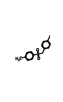 Cc1ccc(S(=O)(=O)Cc2ccc(I)cc2)cc1